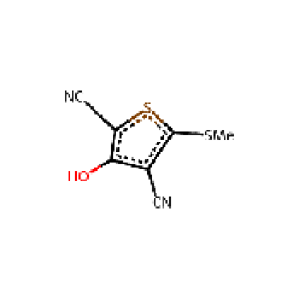 CSc1sc(C#N)c(O)c1C#N